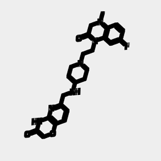 CN1CC(=O)N(CCN2CCC(NCc3ccc4c(n3)NC(=O)CO4)CC2)c2cc(F)ccc21